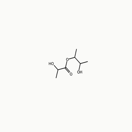 CC(O)C(=O)OC(C)C(C)O